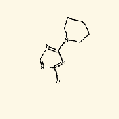 Clc1ncnc(N2CCCCC2)n1